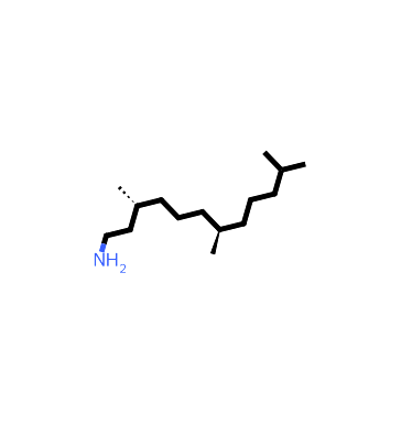 CC(C)CCC[C@@H](C)CCC[C@@H](C)CCN